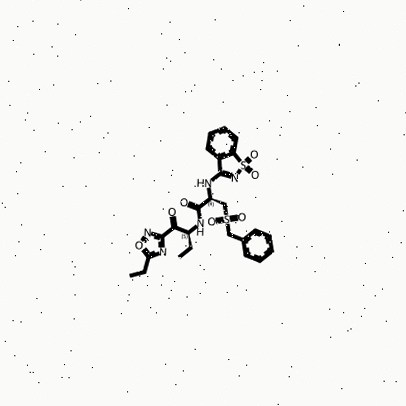 CCc1nc(C(=O)[C@H](CC)NC(=O)[C@H](CS(=O)(=O)Cc2ccccc2)NC2=NS(=O)(=O)c3ccccc32)no1